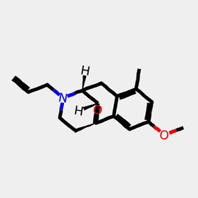 C=CCN1CC[C@]23CCCO[C@H]2[C@H]1Cc1c(C)cc(OC)cc13